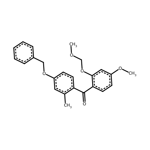 COCOc1cc(OC)ccc1C(=O)c1ccc(OCc2ccccc2)cc1C